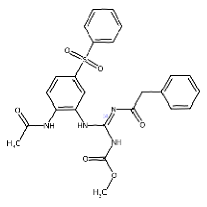 COC(=O)N/C(=N\C(=O)Cc1ccccc1)Nc1cc(S(=O)(=O)c2ccccc2)ccc1NC(C)=O